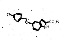 O=C(O)c1cc2cc(OCc3ccc(Cl)nc3)ccc2[nH]1